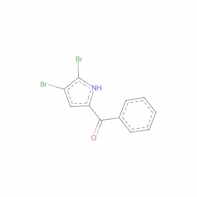 O=C(c1ccccc1)c1cc(Br)c(Br)[nH]1